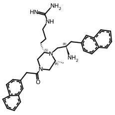 C[C@@H]1CN(C(=O)Cc2ccc3ccccc3c2)C[C@H](CCCNC(=N)N)N1C[C@H](N)Cc1ccc2ccccc2c1